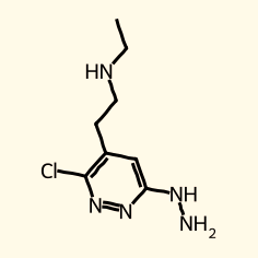 CCNCCc1cc(NN)nnc1Cl